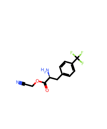 N#CCOC(=O)[C@@H](N)Cc1ccc(C(F)(F)F)cc1